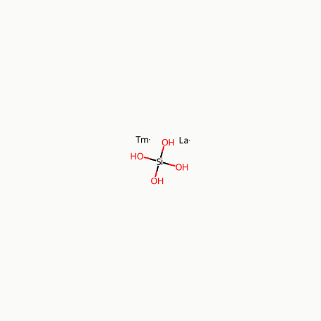 O[Si](O)(O)O.[La].[Tm]